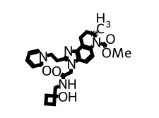 COC(=O)N1c2ccc3c(nc(CCn4ccccc4=O)n3CC(=O)NCC3(O)CCC3)c2CC[C@@H]1C